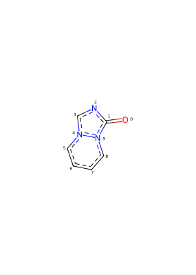 O=c1ncn2ccccn12